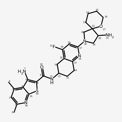 Cc1cc(C)c2c(N)c(C(=O)NC3CCc4nc(N5CC(N)C6(CCCCO6)C5)cc(F)c4C3)sc2n1